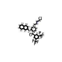 O=C(c1cc(C(F)(F)F)cc(C(F)(F)F)c1)N1CCN(C/C=C/CCl)C[C@H]1Cc1ccc2ccccc2c1